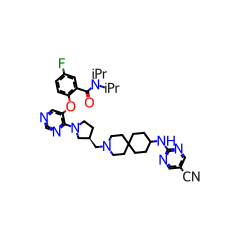 CC(C)N(C(=O)c1cc(F)ccc1Oc1cncnc1N1CC[C@@H](CN2CCC3(CCC(Nc4ncc(C#N)cn4)CC3)CC2)C1)C(C)C